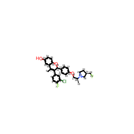 CC1=C(c2ccc(F)c(Cl)c2)C(c2ccc(OC[C@H](C)N3CC[C@@H](CF)C3)cc2)Oc2ccc(O)cc21